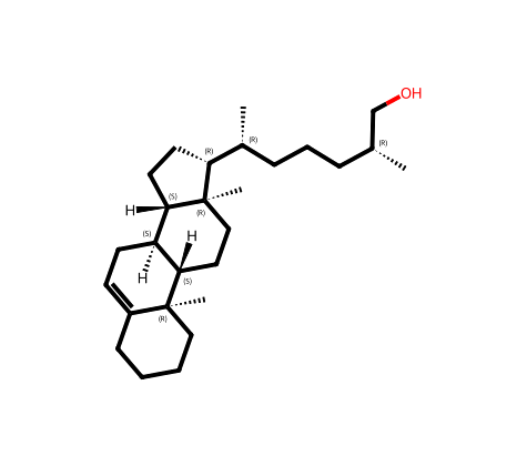 C[C@@H](CO)CCC[C@@H](C)[C@H]1CC[C@H]2[C@@H]3CC=C4CCCC[C@]4(C)[C@H]3CC[C@]12C